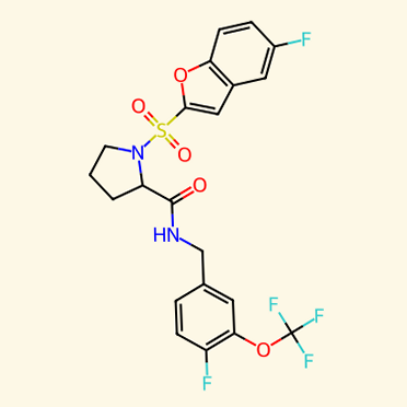 O=C(NCc1ccc(F)c(OC(F)(F)F)c1)C1CCCN1S(=O)(=O)c1cc2cc(F)ccc2o1